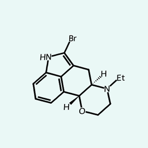 CCN1CCO[C@@H]2c3cccc4[nH]c(Br)c(c34)C[C@H]21